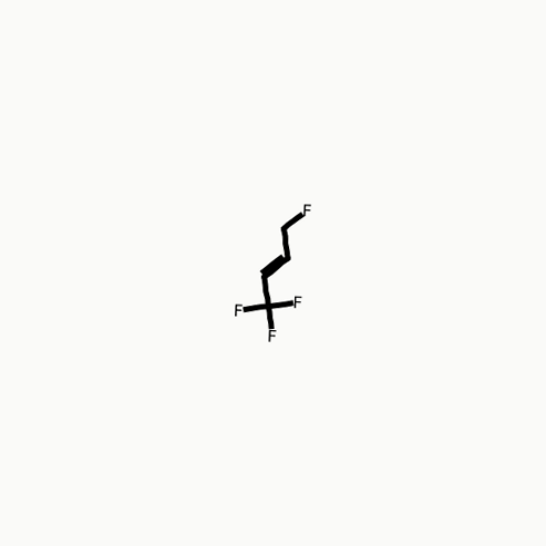 FCC=CC(F)(F)F